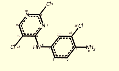 Nc1ccc(Nc2nc(Cl)ncc2Cl)cc1Cl